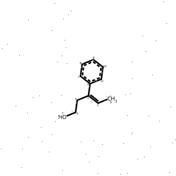 C/C=C(/CCO)c1ccccc1